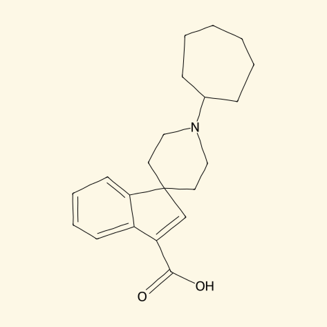 O=C(O)C1=CC2(CCN(C3CCCCCC3)CC2)c2ccccc21